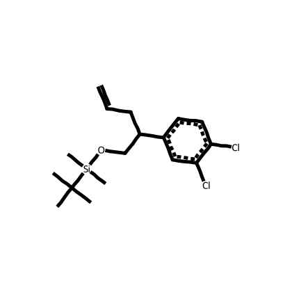 C=CCC(CO[Si](C)(C)C(C)(C)C)c1ccc(Cl)c(Cl)c1